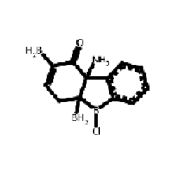 BC1=CCC2(B)B(Cl)c3ccccc3C2(N)C1=O